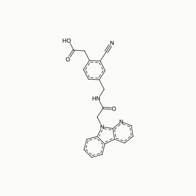 N#Cc1cc(CNC(=O)Cn2c3ccccc3c3cccnc32)ccc1CC(=O)O